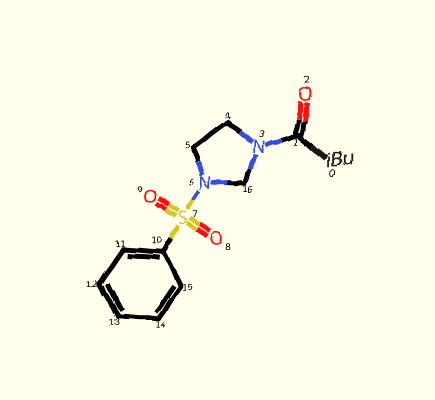 CCC(C)C(=O)N1CCN(S(=O)(=O)c2ccccc2)C1